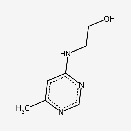 Cc1cc(NCCO)ncn1